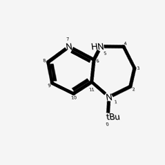 CC(C)(C)N1CCCNc2ncccc21